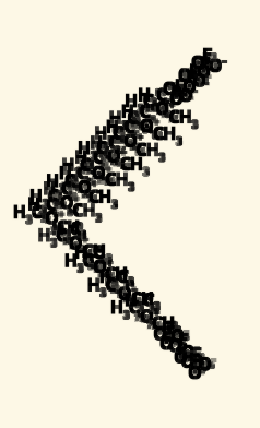 CC[O+](CC)CC.CC[O+](CC)CC.CC[O+](CC)CC.CC[O+](CC)CC.CC[O+](CC)CC.CC[O+](CC)CC.CC[O+](CC)CC.CC[O+](CC)CC.CC[O+](CC)CC.CC[O+](CC)CC.CC[O+](CC)CC.CC[O+](CC)CC.O=P([O-])([O-])F.O=P([O-])([O-])F.O=P([O-])([O-])F.O=P([O-])([O-])F.O=P([O-])([O-])F.O=P([O-])([O-])F